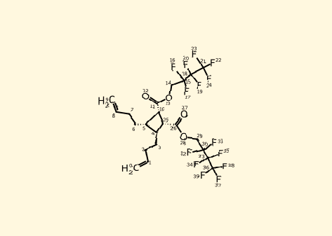 C=CCC[C@H]1[C@H](CCC=C)[C@H](C(=O)OCC(F)(F)C(F)(F)C(F)(F)F)[C@@H]1C(=O)OCC(F)(F)C(F)(F)C(F)(F)F